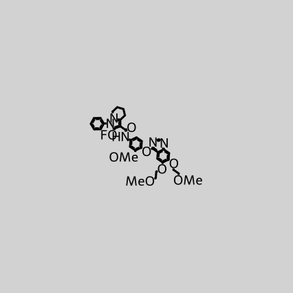 COCCOc1cc2ncnc(Oc3ccc(NC(=O)c4c5n(n(-c6ccccc6F)c4=O)CCCC5)cc3OC)c2cc1OCCOC